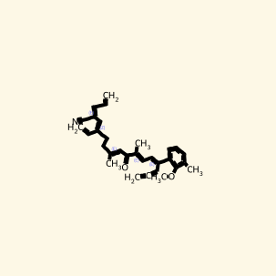 C=C=C/C(=C\C=C(/C)C(=O)/C=C(\C)CC/C(C=C)=C/C(C#N)=C\C=C)c1cccc(C)c1OC